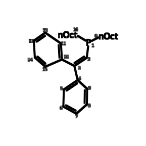 CCCCCCCCP(C=C(c1ccccc1)c1ccccc1)CCCCCCCC